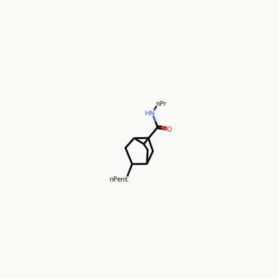 CCCCCC1CC2CCC1CC2C(=O)NCCC